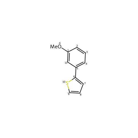 COc1cccc(-c2cc[c]s2)c1